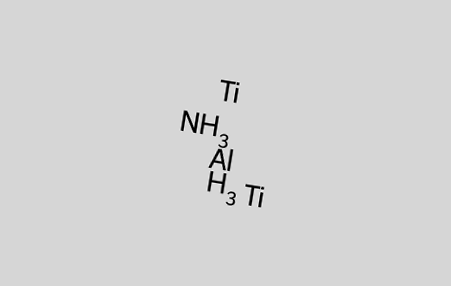 N.[AlH3].[Ti].[Ti]